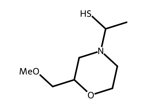 COCC1CN(C(C)S)CCO1